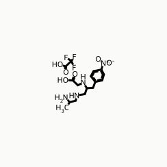 CC(N)CNCC(Cc1ccc([N+](=O)[O-])cc1)NCC(=O)O.O=C(O)C(F)(F)F